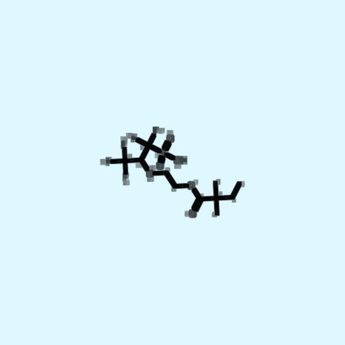 CCC(C)(C)C(=O)OCCOC(C(F)(F)F)C(F)(F)S(=O)(=O)O